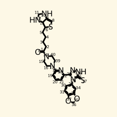 O=C(CCCCC1SC=C2NCNC21)N1CCN(c2cccc(-c3n[nH]c(=S)n3-c3ccc4c(c3)OCO4)n2)CC1